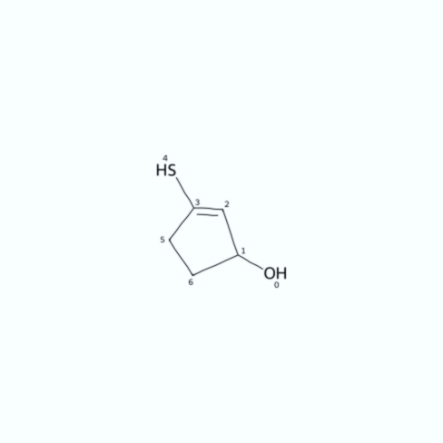 OC1C=C(S)CC1